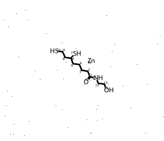 O=C(CCCCC(S)CCS)NCCO.[Zn]